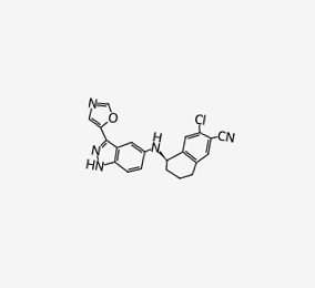 N#Cc1cc2c(cc1Cl)[C@H](Nc1ccc3[nH]nc(-c4cnco4)c3c1)CCC2